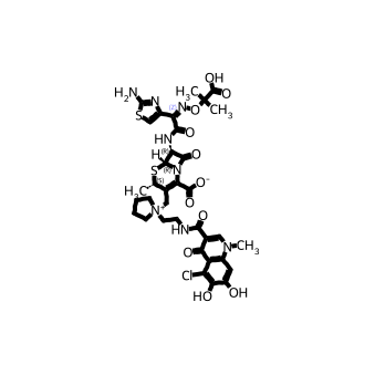 C[C@@H]1S[C@@H]2[C@H](NC(=O)/C(=N\OC(C)(C)C(=O)O)c3csc(N)n3)C(=O)N2C(C(=O)[O-])=C1C[N+]1(CCNC(=O)c2cn(C)c3cc(O)c(O)c(Cl)c3c2=O)CCCC1